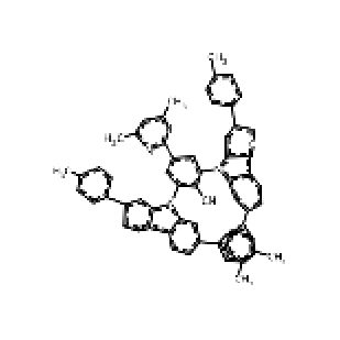 Cc1ccc(-c2ccc3c4ccc(-c5ccc(C)cc5)cc4n(-c4cc(-c5nc(C)cc(C)n5)cc(-n5c6cc(-c7ccc(C)cc7)ccc6c6ccc(-c7ccc(C)cc7)cc65)c4C#N)c3c2)cc1